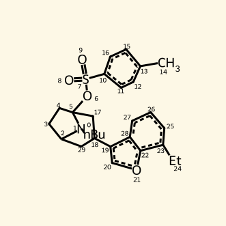 CCCCN1C2CCC1(OS(=O)(=O)c1ccc(C)cc1)CC(c1coc3c(CC)cccc13)C2